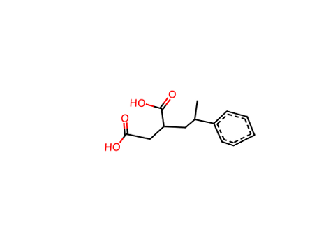 CC(CC(CC(=O)O)C(=O)O)c1ccccc1